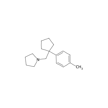 Cc1ccc(C2(CN3CCCC3)CCCC2)cc1